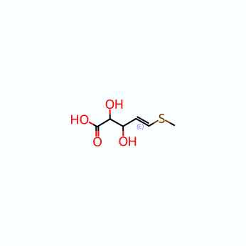 CS/C=C/C(O)C(O)C(=O)O